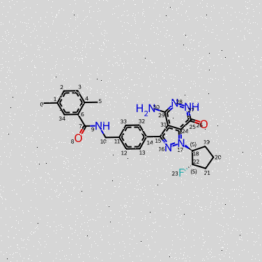 Cc1ccc(C)c(C(=O)NCc2ccc(-c3nn([C@H]4CCC[C@@H]4F)c4c(=O)[nH]nc(N)c34)cc2)c1